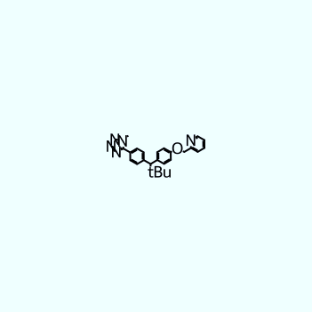 Cn1nnnc1-c1ccc(C(c2ccc(OCc3ccccn3)cc2)C(C)(C)C)cc1